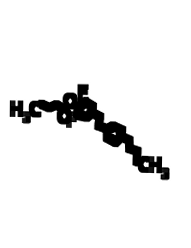 CCCCCc1ccc(CCc2cc(F)c(OC(=O)CCCC)c(F)c2)cc1